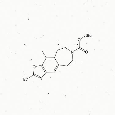 CCc1nc2cc3c(c(C)c2o1)CCN(C(=O)OC(C)(C)C)CC3